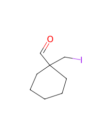 O=CC1(CI)CCCCC1